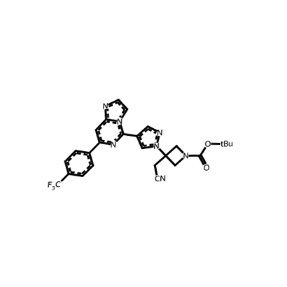 CC(C)(C)OC(=O)N1CC(CC#N)(n2cc(-c3nc(-c4ccc(C(F)(F)F)cc4)cc4nccn34)cn2)C1